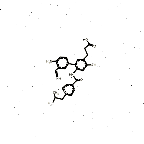 Cc1cc(NC(=O)c2ccc(CC(C)C)cc2)c(-c2ccc(N)c(C=N)c2)cc1CCC(=O)O